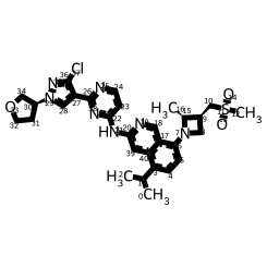 CC(C)c1ccc(N2C[C@H](CS(C)(=O)=O)[C@H]2C)c2cnc(Nc3ccnc(-c4cn([C@H]5CCOC5)nc4Cl)n3)cc12